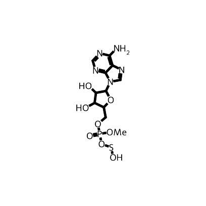 COP(=O)(OCC1OC(n2cnc3c(N)ncnc32)C(O)C1O)OSO